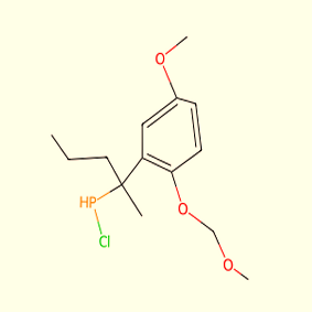 CCCC(C)(PCl)c1cc(OC)ccc1OCOC